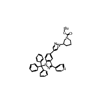 CC(C)(C)OC(=O)N1CCCC(n2cc(-c3ccc4c(c3)c(-c3ccncc3)nn4C(c3ccccc3)(c3ccccc3)c3ccccc3)cn2)C1